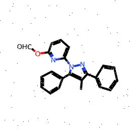 Cc1c(-c2ccccc2)nn(-c2cccc(OC=O)n2)c1-c1ccccc1